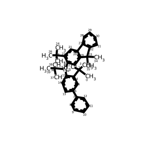 CC(C)(C)c1cc(-c2ccccc2)ccc1N(c1cc2c(cc1C(C)(C)C)-c1ccccc1C2(C)C)C(C)(C)C